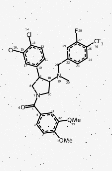 COc1ccc(C(=O)N2CC(c3ccc(Cl)c(Cl)c3)C(N(C)Cc3ccc(C(F)(F)F)c(F)c3)C2)cc1OC